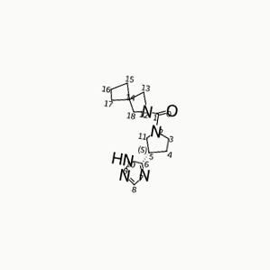 O=C(N1CC[C@H](c2ncn[nH]2)C1)N1CC2(CCC2)C1